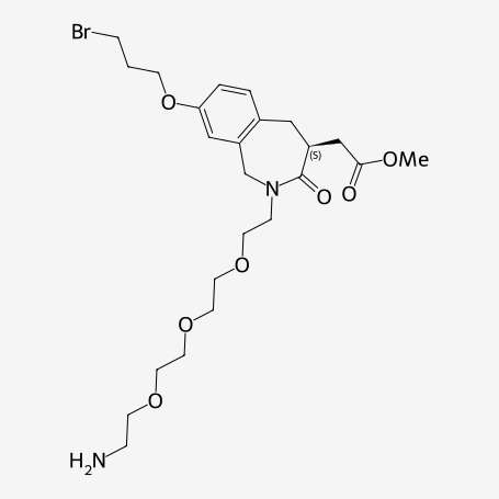 COC(=O)C[C@@H]1Cc2ccc(OCCCBr)cc2CN(CCOCCOCCOCCN)C1=O